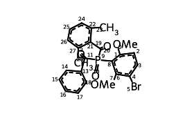 COc1ccc(Br)c(OC)c1P(=O)(C(=O)c1ccccc1)C(=O)c1c(C)cccc1C